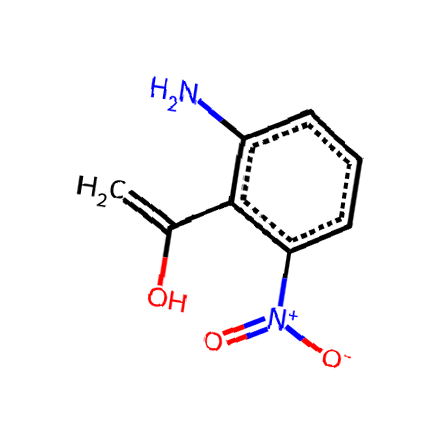 C=C(O)c1c(N)cccc1[N+](=O)[O-]